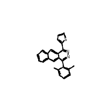 Cc1cccc(C)c1-c1nnc(-c2cccs2)c2cc3ccccc3cc12